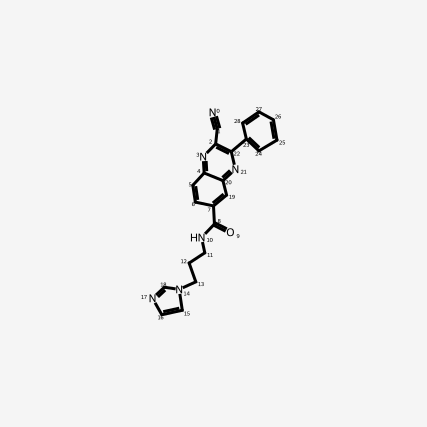 N#Cc1nc2ccc(C(=O)NCCCn3ccnc3)cc2nc1-c1ccccc1